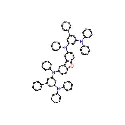 C1=CC(N(c2ccccc2)c2cc(-c3ccccc3)cc(N(c3ccccc3)c3ccc4oc5ccc(N(c6ccccc6)c6cc(-c7ccccc7)cc(N(c7ccccc7)c7ccccc7)c6)cc5c4c3)c2)=CCC1